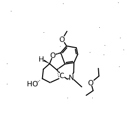 CCOCC.COc1ccc2c3c1O[C@H]1C[C@@H](O)CC[C@@]31CCN(C)C2